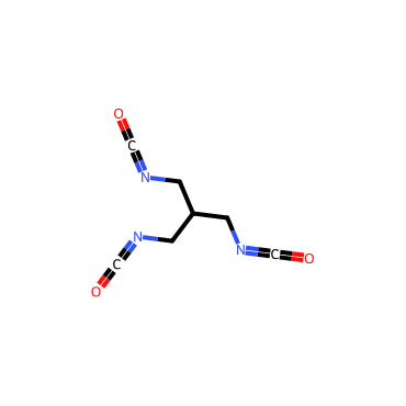 O=C=NCC(CN=C=O)CN=C=O